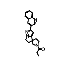 CCC(=O)N1CCC2(CCn3nc(-c4cnc5ccccc5c4)cc32)C1